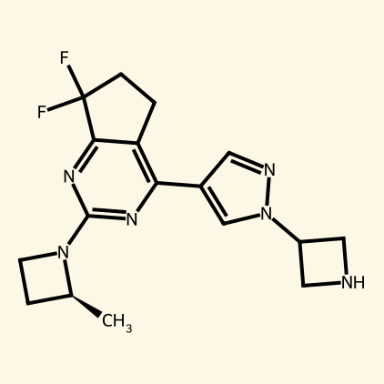 C[C@H]1CCN1c1nc(-c2cnn(C3CNC3)c2)c2c(n1)C(F)(F)CC2